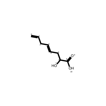 C=CCC=CCC(O)C(=O)O